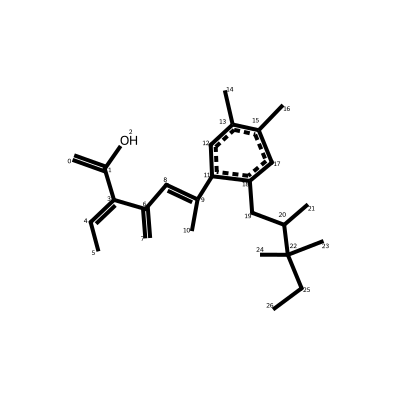 C=C(O)/C(=C/C)C(=C)/C=C(\C)c1cc(C)c(C)cc1CC(C)C(C)(C)CC